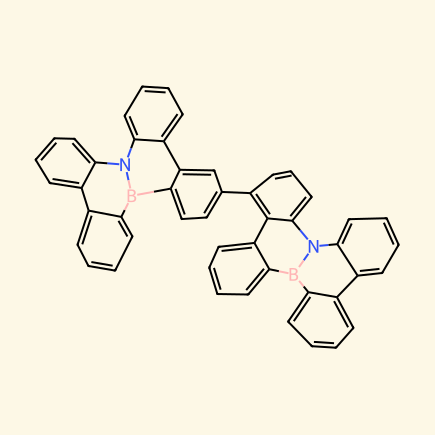 c1ccc2c(c1)B1c3ccc(-c4cccc5c4-c4ccccc4B4c6ccccc6-c6ccccc6N45)cc3-c3ccccc3N1c1ccccc1-2